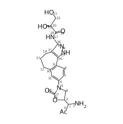 CC(=O)C(N)C1CN(c2ccc3c(c2)CCCc2c(NC(=O)[C@@H](O)CO)n[nH]c2-3)C(=O)O1